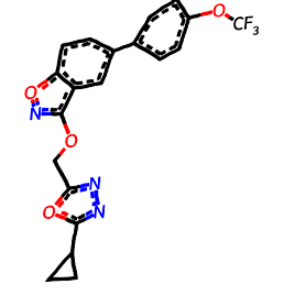 FC(F)(F)Oc1ccc(-c2ccc3onc(OCc4nnc(C5CC5)o4)c3c2)cc1